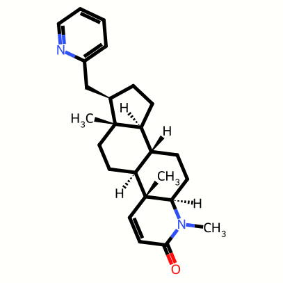 CN1C(=O)C=C[C@]2(C)[C@H]3CC[C@]4(C)[C@@H](Cc5ccccn5)CC[C@H]4[C@@H]3CC[C@@H]12